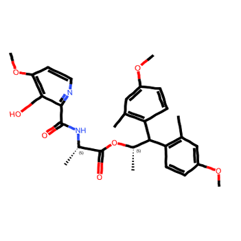 COc1ccc(C(c2ccc(OC)cc2C)[C@H](C)OC(=O)[C@H](C)NC(=O)c2nccc(OC)c2O)c(C)c1